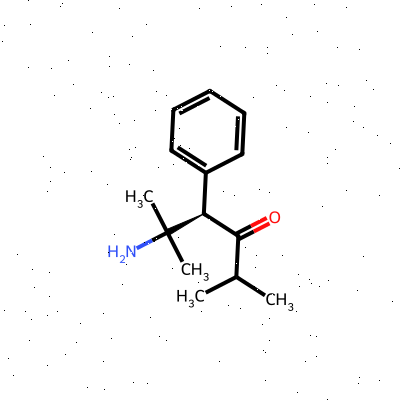 CC(C)C(=O)[C@H](c1ccccc1)C(C)(C)N